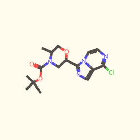 CC1COC(c2ncc3c(Cl)nccn23)CN1C(=O)OC(C)(C)C